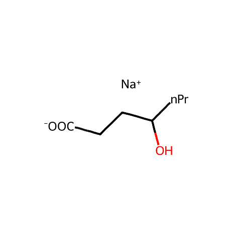 CCCC(O)CCC(=O)[O-].[Na+]